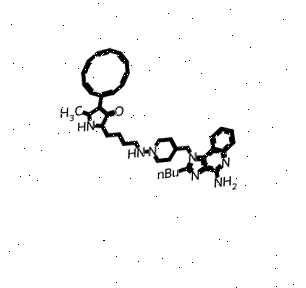 CCCCc1nc2c(N)nc3ccccc3c2n1CC1CCN(NCCCCC2NC(C)C(C3=C/C=C\C=C/C=C\C=C/C=C\3)C2=O)CC1